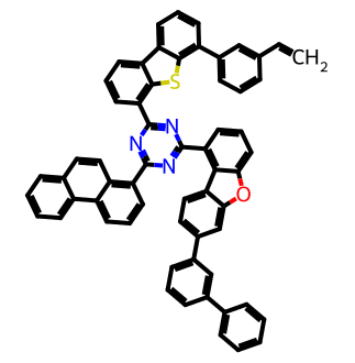 C=Cc1cccc(-c2cccc3c2sc2c(-c4nc(-c5cccc6c5ccc5ccccc56)nc(-c5cccc6oc7cc(-c8cccc(-c9ccccc9)c8)ccc7c56)n4)cccc23)c1